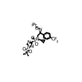 CC(C)O/N=C(\CN(C1CC1)S(=O)(=O)c1ncn(S(=O)(=O)N(C)C)n1)c1ccc(C(F)(F)F)cc1